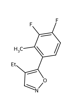 CCc1cnoc1-c1ccc(F)c(F)c1C